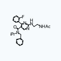 CC(=O)NCCNc1ncc(C(=O)N(Cc2ccccc2)C(C)C)c(-c2ccccc2F)n1